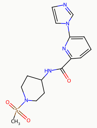 CS(=O)(=O)N1CCC(NC(=O)c2cccc(-n3ccnc3)n2)CC1